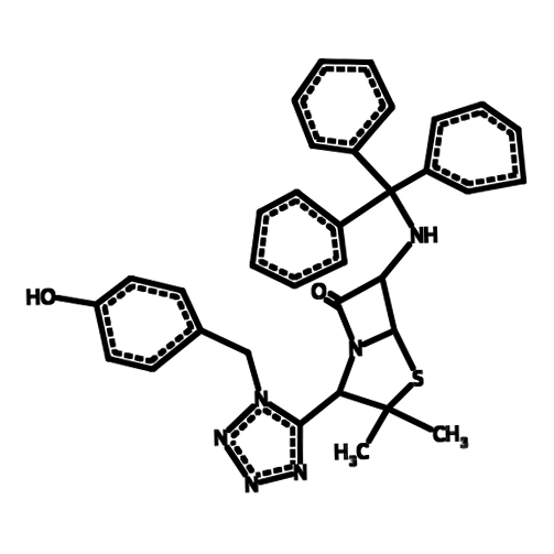 CC1(C)SC2C(NC(c3ccccc3)(c3ccccc3)c3ccccc3)C(=O)N2C1c1nnnn1Cc1ccc(O)cc1